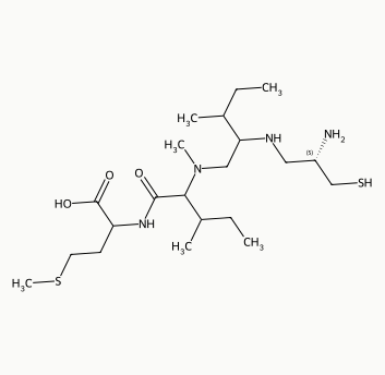 CCC(C)C(CN(C)C(C(=O)NC(CCSC)C(=O)O)C(C)CC)NC[C@H](N)CS